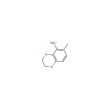 Cc1ccc2c(c1O)SCCS2